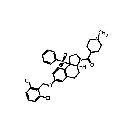 CN1CCC(C(=O)N2CC[C@@]3(S(=O)(=O)c4ccccc4)c4ccc(OCc5c(Cl)cccc5Cl)cc4CC[C@@H]23)CC1